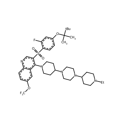 CCN1CCC(N2CCN(C3CCN(c4c(S(=O)(=O)c5ccc(OC(C)(C)C(C)(C)C)cc5F)cnc5ccc(OC(F)(F)F)cc45)CC3)CC2)CC1